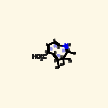 C/C1=N/C=C/C=C(C(=O)O)\C=C(/C)C1(C)C